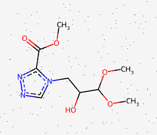 COC(=O)c1nn[c]n1CC(O)C(OC)OC